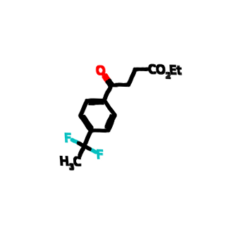 CCOC(=O)CCC(=O)c1ccc(C(C)(F)F)cc1